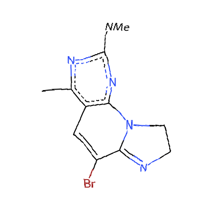 CNc1nc(C)c2c(n1)N1CCN=C1C(Br)=C2